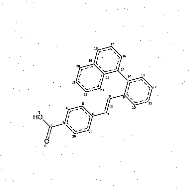 O=C(O)c1ccc(/C=C/c2ccccc2-c2cccc3ccccc23)cc1